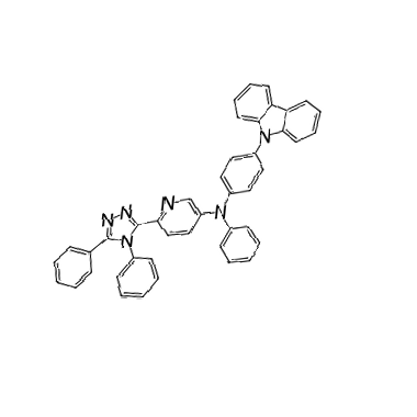 c1ccc(-c2nnc(-c3ccc(N(c4ccccc4)c4ccc(-n5c6ccccc6c6ccccc65)cc4)cn3)n2-c2ccccc2)cc1